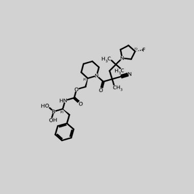 CC(C#N)(CC(C)(C)N1CC[C@H](F)C1)C(=O)N1CCCC[C@@H]1COC(=O)N[C@@H](Cc1ccccc1)B(O)O